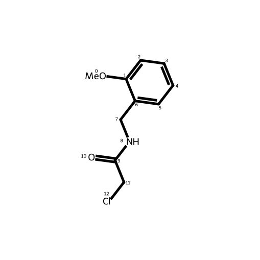 COc1ccccc1CNC(=O)CCl